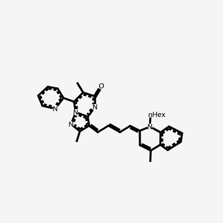 CCCCCCN1/C(=C/C=C/C=c2/c(C)nn3c(-c4ccccn4)c(C)c(=O)nc23)C=C(C)c2ccccc21